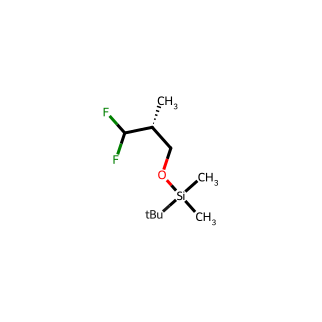 C[C@H](CO[Si](C)(C)C(C)(C)C)C(F)F